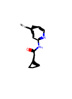 CCc1ccnc(NC(=O)C2CC2)c1